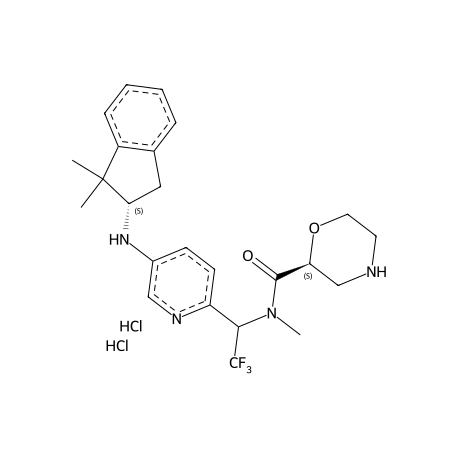 CN(C(=O)[C@@H]1CNCCO1)C(c1ccc(N[C@H]2Cc3ccccc3C2(C)C)cn1)C(F)(F)F.Cl.Cl